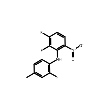 Cc1ccc(Nc2c([N+](=O)[O-])ccc(F)c2F)c(F)c1